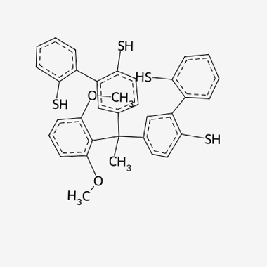 COc1cccc(OC)c1C(C)(c1ccc(S)c(-c2ccccc2S)c1)c1ccc(S)c(-c2ccccc2S)c1